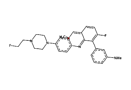 C=N/C=C1/C=CC(F)=C(c2cccc(NC)c2)/C1=N/c1ccc(N2CCN(CCF)CC2)cc1